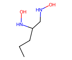 CCCC(CNO)NO